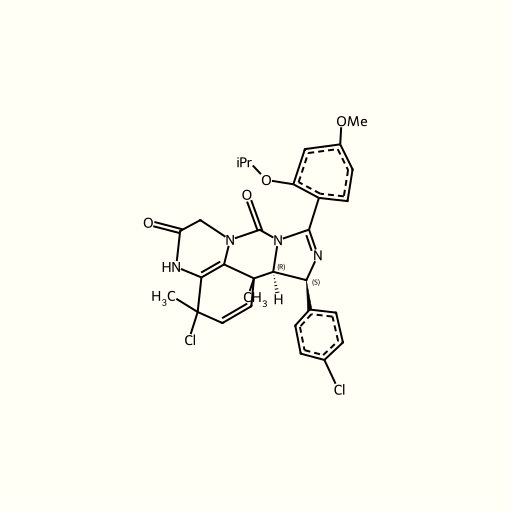 COc1ccc(C2=N[C@@H](c3ccc(Cl)cc3)[C@@H]3N2C(=O)N2CC(=O)NC4=C2C3(C)C=CC4(C)Cl)c(OC(C)C)c1